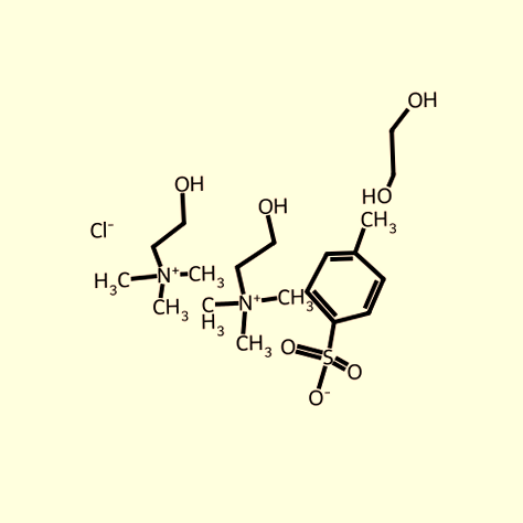 C[N+](C)(C)CCO.C[N+](C)(C)CCO.Cc1ccc(S(=O)(=O)[O-])cc1.OCCO.[Cl-]